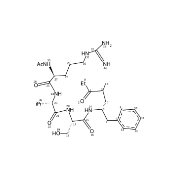 CCC(=O)C(C)C[C@H](Cc1ccccc1)NC(=O)[C@H](CO)NC(=O)[C@@H](NC(=O)[C@H](CCCNC(=N)N)NC(C)=O)C(C)C